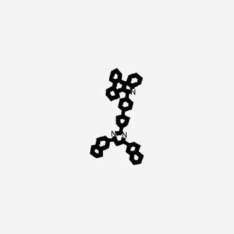 c1ccc2cc(-c3cc(-c4ccc5ccccc5c4)nc(-c4ccc(-c5ccc(-c6nc7ccccc7c7c8ccccc8c8ccccc8c67)cc5)cc4)n3)ccc2c1